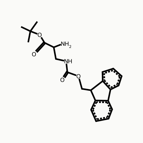 CC(C)(C)OC(=O)C(N)CNC(=O)OCC1c2ccccc2-c2ccccc21